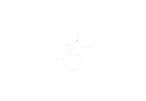 CC(C)N1C(=O)Cc2c(C(C)(C)C)ccnc21